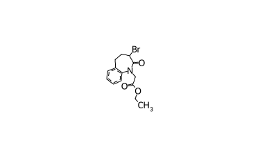 CCOC(=O)CN1C(=O)C(Br)CCc2ccccc21